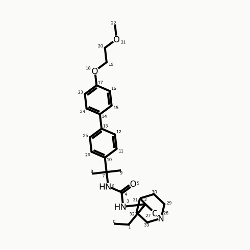 CCC1(NC(=O)NC(C)(C)c2ccc(-c3ccc(OCCOC)cc3)cc2)CN2CCC1CC2